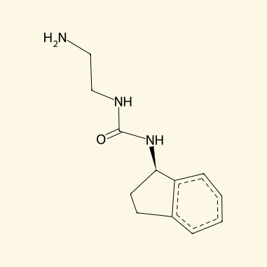 NCCNC(=O)N[C@@H]1CCc2ccccc21